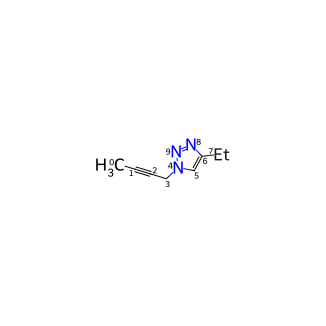 CC#CCn1cc(CC)nn1